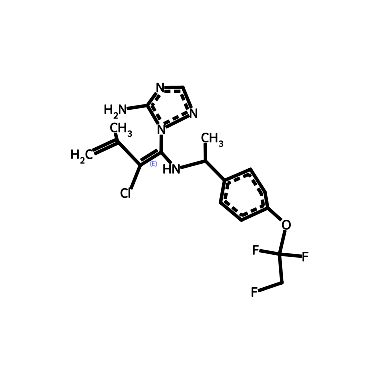 C=C(C)/C(Cl)=C(/NC(C)c1ccc(OC(F)(F)CF)cc1)n1ncnc1N